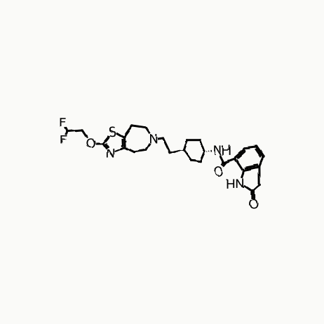 O=C1Cc2cccc(C(=O)N[C@H]3CC[C@H](CCN4CCc5nc(OCC(F)F)sc5CC4)CC3)c2N1